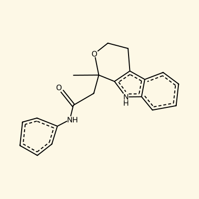 CC1(CC(=O)Nc2ccccc2)OCCc2c1[nH]c1ccccc21